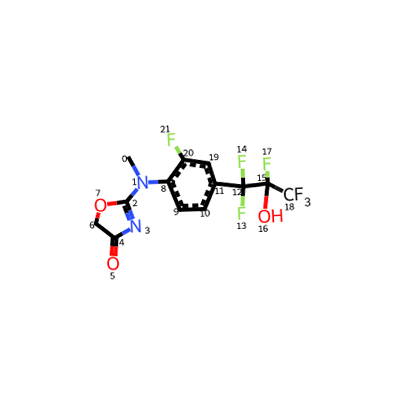 CN(C1=NC(=O)CO1)c1ccc(C(F)(F)C(O)(F)C(F)(F)F)cc1F